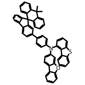 CC1(C)c2ccccc2C2(c3ccccc3-c3ccc(-c4ccc(N(c5ccc6c(c5)oc5ccccc56)c5cccc6sc7ccccc7c56)cc4)cc32)c2ccccc21